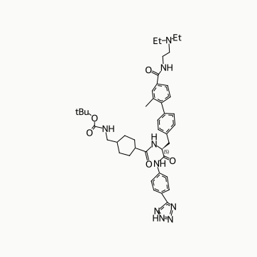 CCN(CC)CCNC(=O)c1ccc(-c2ccc(C[C@H](NC(=O)C3CCC(CNC(=O)OC(C)(C)C)CC3)C(=O)Nc3ccc(-c4nn[nH]n4)cc3)cc2)c(C)c1